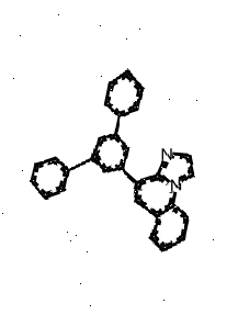 c1ccc(-c2cc(-c3ccccc3)cc(-c3cc4ccccc4n4ccnc34)c2)cc1